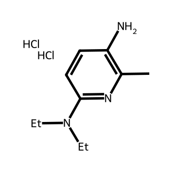 CCN(CC)c1ccc(N)c(C)n1.Cl.Cl